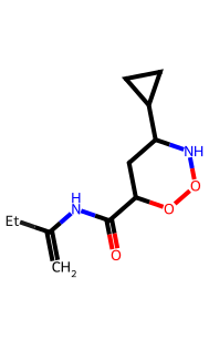 C=C(CC)NC(=O)C1CC(C2CC2)NOO1